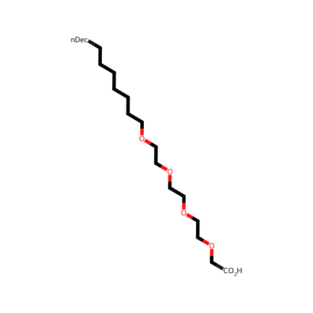 CCCCCCCCCCCCCCCCCOCCOCCOCCOCC(=O)O